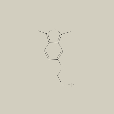 CCCCCCCCOc1ccc2c(C)sc(C)c2c1